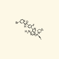 CC#CC(=O)N1CC2(CC2)C[C@H]1c1nc(-c2ccc(C(=O)Nc3cc(Br)ccn3)cc2F)c2c(N)nccn12